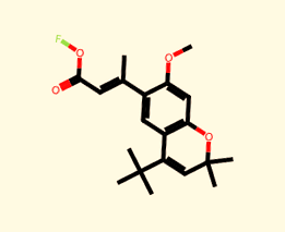 COc1cc2c(cc1C(C)=CC(=O)OF)C(C(C)(C)C)=CC(C)(C)O2